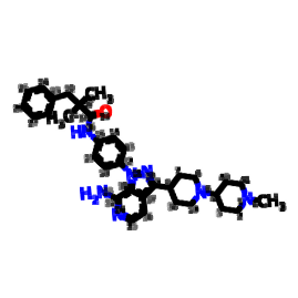 CN1CCC(N2CCC(c3nn(-c4ccc(NC(=O)C(C)(C)Cc5ccccc5)cc4)c4c(N)nccc34)CC2)CC1